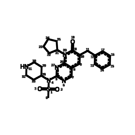 CS(=O)(=O)N(c1ncc2cc(Cc3ccccc3)c(=O)n(C3CCCC3)c2n1)C1CCNCC1